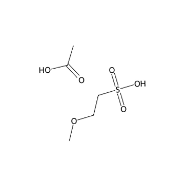 CC(=O)O.COCCS(=O)(=O)O